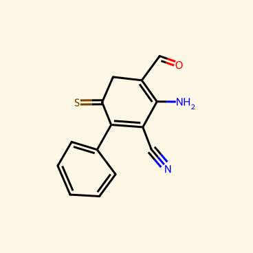 N#CC1=C(c2ccccc2)C(=S)CC(C=O)=C1N